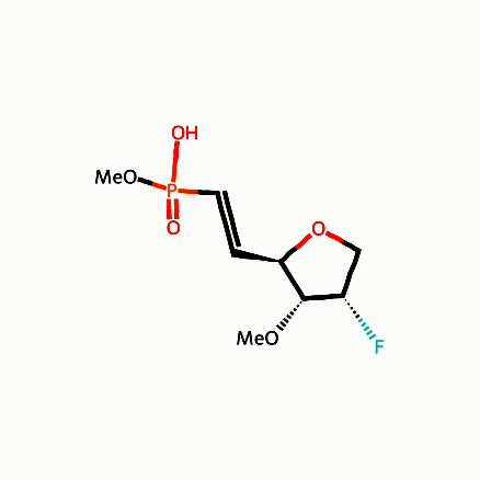 CO[C@H]1[C@@H](F)CO[C@@H]1/C=C/P(=O)(O)OC